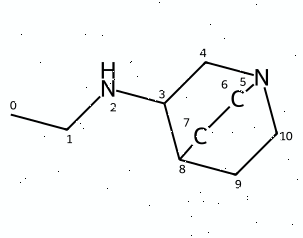 CCNC1CN2CCC1CC2